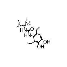 CCc1cc(O)c(O)c(CC)c1NC(=O)NC(N(C)C)=[N+](C)C